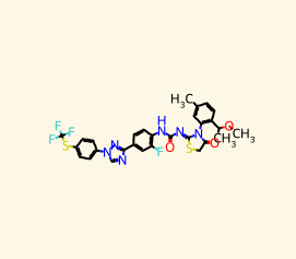 COC(C)c1ccc(C)cc1N1C(=O)CSC1=NC(=O)Nc1ccc(-c2ncn(-c3ccc(SC(F)(F)F)cc3)n2)cc1F